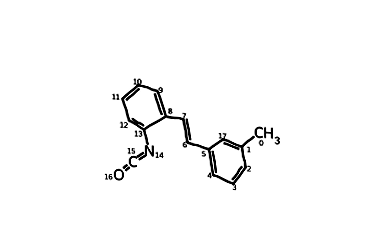 Cc1cccc(C=Cc2ccccc2N=C=O)c1